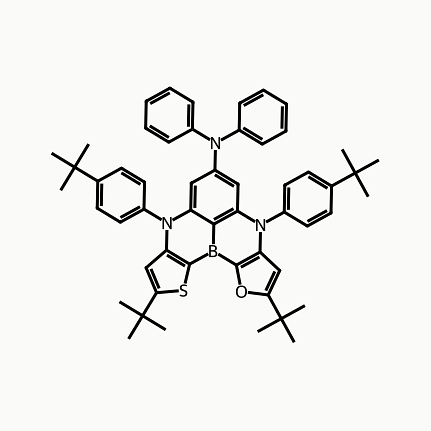 CC(C)(C)c1ccc(N2c3cc(C(C)(C)C)oc3B3c4sc(C(C)(C)C)cc4N(c4ccc(C(C)(C)C)cc4)c4cc(N(c5ccccc5)c5ccccc5)cc2c43)cc1